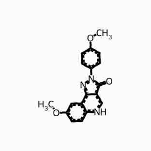 COc1ccc(-n2nc3c4cc(OC)ccc4[nH]cc-3c2=O)cc1